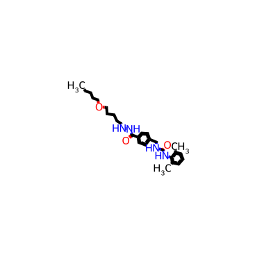 CCCCCOCCCCCNNC(=O)c1ccc(CNC(=O)Nc2c(C)cccc2C)cc1